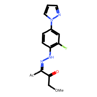 COCC(=O)/C(=N\Nc1ccc(-n2cccn2)cc1F)C(C)=O